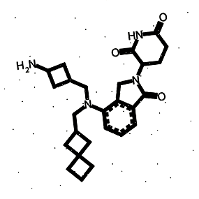 NC1CC(CN(CC2CC3(CCC3)C2)c2cccc3c2CN(C2CCC(=O)NC2=O)C3=O)C1